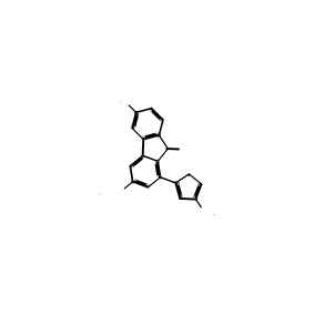 CC(C)(C)C1=CCC(c2cc(C(C)(C)C)cc3c2[CH]([Zr+2])c2ccc(C(C)(C)C)cc2-3)=C1.[Cl-].[Cl-]